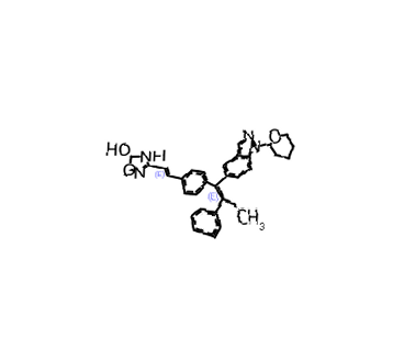 CC/C(=C(/c1ccc(/C=C/C2=NOC(O)N2)cc1)c1ccc2c(cnn2C2CCCCO2)c1)c1ccccc1